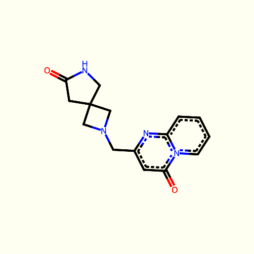 O=C1CC2(CN1)CN(Cc1cc(=O)n3ccccc3n1)C2